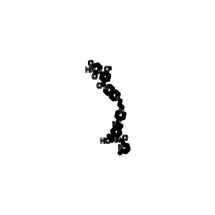 COc1ccc(C(=O)N2CCC3(CCN(CCCN4CCC(n5cc6cc(NC(=O)c7cccc(C)n7)c(C(C)(C)O)cc6n5)CC4)CC3)CC2)cc1N1CCC(=O)NC1=O